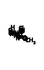 CC1CCC(Cn2cnc3nc(-c4noc(=O)[nH]4)nc(-c4ccnc(Cl)c4)c32)CC1